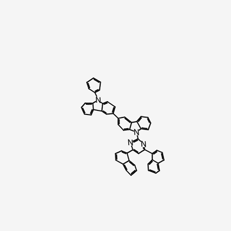 c1ccc(-n2c3ccccc3c3cc(-c4ccc5c(c4)c4ccccc4n5-c4nc(-c5cccc6ccccc56)cc(-c5cccc6ccccc56)n4)ccc32)cc1